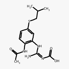 CC(=O)Nc1ccc(SCC(C)C)cc1N/C(N)=N\C(=O)O